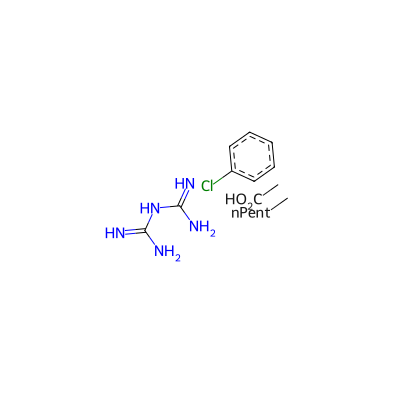 CC(=O)O.CCCCCC.Clc1ccccc1.N=C(N)NC(=N)N